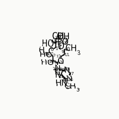 CCC(C)(O)P(=O)(O)OC(C)CCO[C@@H]([C@H](O)CO)n1cnc2c(NC)ncnc21